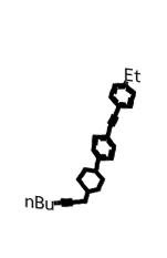 CCCCC#CCC1CCC(c2ccc(C#Cc3ccc(CC)cc3)cc2)CC1